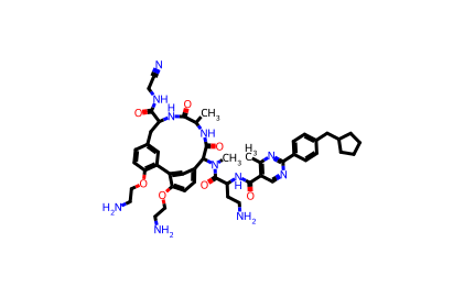 Cc1nc(-c2ccc(CC3CCCC3)cc2)ncc1C(=O)NC(CCN)C(=O)N(C)C1C(=O)NC(C)C(=O)NC(C(=O)NCC#N)Cc2ccc(OCCN)c(c2)-c2cc1ccc2OCCN